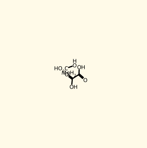 O=C(O)C(=O)O.O=C(O)O.[MgH2]